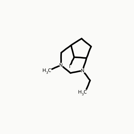 CCN1CN(C)CC2CCC1C2I